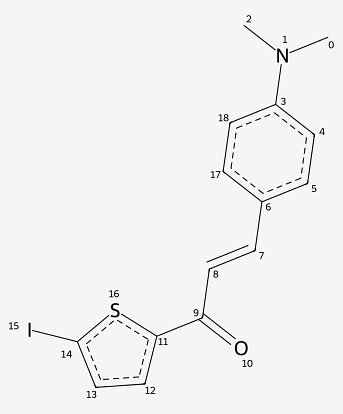 CN(C)c1ccc(/C=C/C(=O)c2ccc(I)s2)cc1